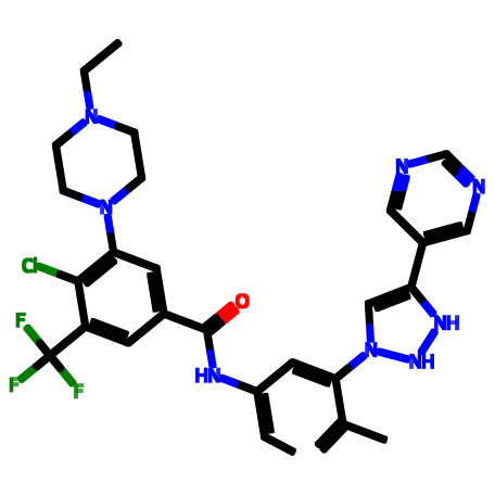 C=C(C)/C(=C\C(=C/C)NC(=O)c1cc(N2CCN(CC)CC2)c(Cl)c(C(F)(F)F)c1)N1C=C(c2cncnc2)NN1